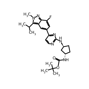 CC(C)c1c2cc(-c3ccnc(N[C@H]4CC[C@H](NC(=O)OC(C)(C)C)C4)n3)cc(F)c2nn1C